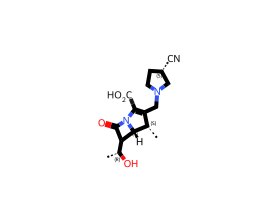 C[C@@H](O)C1C(=O)N2C(C(=O)O)=C(CN3CC[C@H](C#N)C3)[C@H](C)[C@H]12